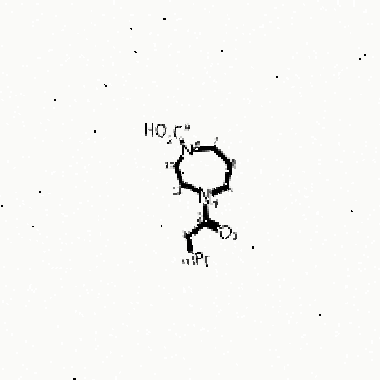 CC(C)CC(=O)N1CCCN(C(=O)O)CC1